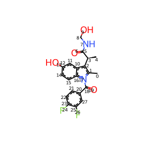 Cc1c([C@H](C)C(=O)NCO)c2cc(O)ccc2n1C(=O)c1ccc(F)c(F)c1